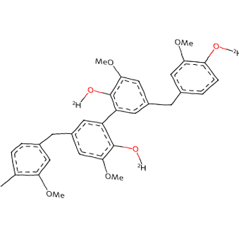 [2H]Oc1ccc(Cc2cc(OC)c(O[2H])c(-c3cc(Cc4ccc(C)c(OC)c4)cc(OC)c3O[2H])c2)cc1OC